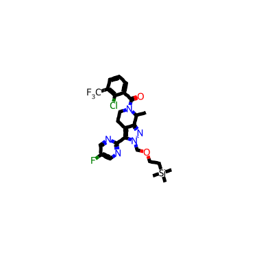 CC1c2nn(COCC[Si](C)(C)C)c(-c3ncc(F)cn3)c2CCN1C(=O)c1cccc(C(F)(F)F)c1Cl